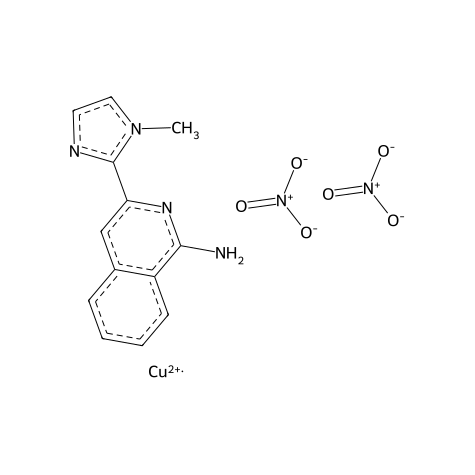 Cn1ccnc1-c1cc2ccccc2c(N)n1.O=[N+]([O-])[O-].O=[N+]([O-])[O-].[Cu+2]